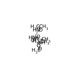 COc1ccc2c3c([nH]c2c1)[C@H](CC(C)C)N1C(=O)[C@H](CCCCNC(=O)C(C)C)NC(=O)[C@@H]1C3